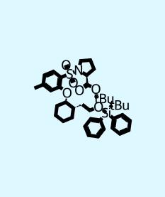 Cc1ccc(S(=O)(=O)N2CCC[C@H]2C(=O)OC(C)(C)C)c(O[C@H]2CCCC[C@H]2CCO[Si](c2ccccc2)(c2ccccc2)C(C)(C)C)c1